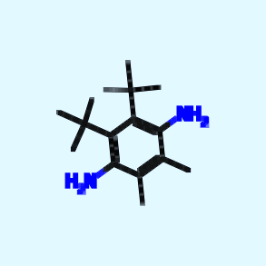 Cc1c(C)c(N)c(C(C)(C)C)c(C(C)(C)C)c1N